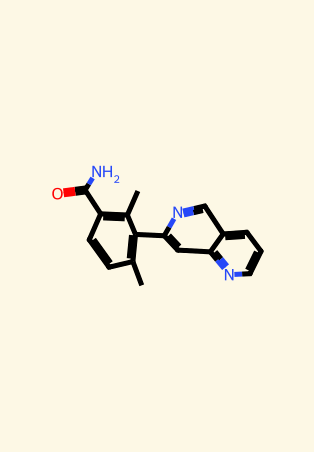 Cc1ccc(C(N)=O)c(C)c1-c1cc2ncccc2cn1